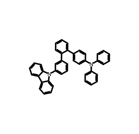 c1ccc(N(c2ccccc2)c2ccc(-c3ccccc3-c3cccc(-n4c5ccccc5c5ccccc54)c3)cc2)cc1